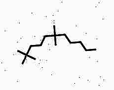 CCCCCC(C)(C)[CH]CCC(C)(C)C